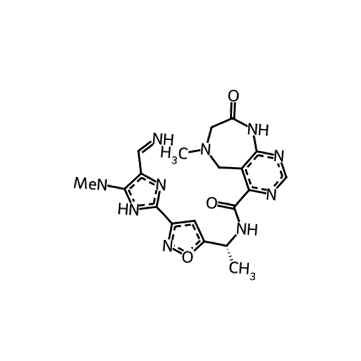 CNc1[nH]c(-c2cc([C@@H](C)NC(=O)c3ncnc4c3CN(C)CC(=O)N4)on2)nc1C=N